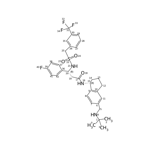 CC(C)(C)NCc1ccc2c(c1)CCC[C@H]2NC(=O)C[C@@H](NS(=O)(=O)Cc1cccc(C(F)(F)F)c1)c1ccc(F)cc1